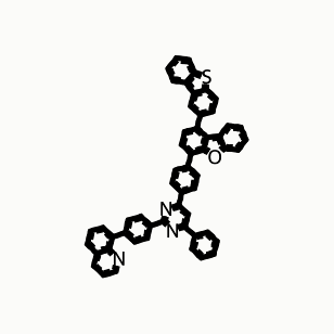 c1ccc(-c2cc(-c3ccc(-c4ccc(-c5ccc6sc7ccccc7c6c5)c5c4oc4ccccc45)cc3)nc(-c3ccc(-c4cccc5cccnc45)cc3)n2)cc1